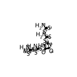 NC(=S)[S-].NC(=S)[S-].NC(=S)[S-].NC(=S)[S-].O=C1N=NNC1=O.[Mo+4]